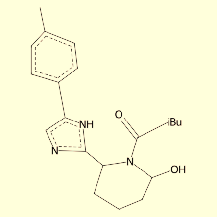 CCC(C)C(=O)N1C(O)CCCC1c1ncc(-c2ccc(C)cc2)[nH]1